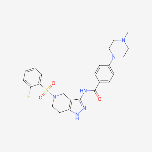 CN1CCN(c2ccc(C(=O)Nc3n[nH]c4c3CN(S(=O)(=O)c3ccccc3F)CC4)cc2)CC1